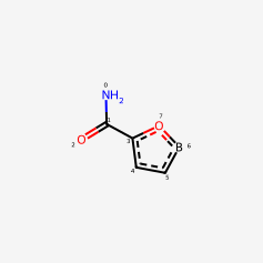 NC(=O)c1ccbo1